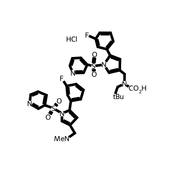 CC(C)(C)CN(Cc1cc(-c2cccc(F)c2)n(S(=O)(=O)c2cccnc2)c1)C(=O)O.CNCc1cc(-c2cccc(F)c2)n(S(=O)(=O)c2cccnc2)c1.Cl